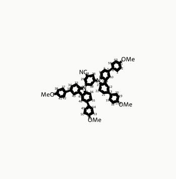 COc1ccc(-c2ccc3c(c2)c2cc(-c4ccc(OC)cc4)ccc2n3-c2cc(C#N)cc(-n3c4ccc(-c5ccc(OC)cc5)cc4c4cc(-c5ccc(OC)cc5)ccc43)c2)cc1